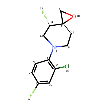 Fc1ccc(N2CC[C@@]3(CO3)[C@@H](F)C2)c(Cl)c1